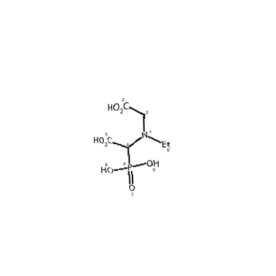 CCN(CC(=O)O)C(C(=O)O)P(=O)(O)O